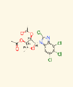 CC(=O)O[C@@H]1[C@H](OC(C)=O)[C@@H](C)O[C@H]1n1c(Cl)nc2c(Cl)c(Cl)c(Cl)cc21